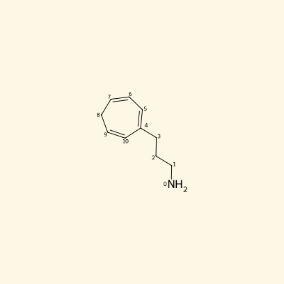 NCCCC1=CC=CCC=C1